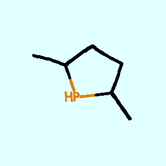 CC1CCC(C)P1